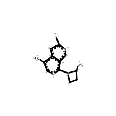 Cc1cnc(N2CCC2C)c2cnc(Cl)cc12